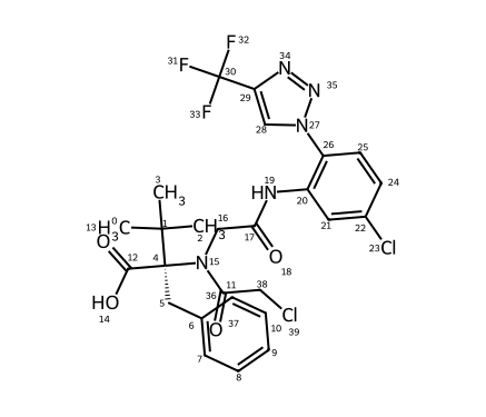 CC(C)(C)[C@](Cc1ccccc1)(C(=O)O)N(CC(=O)Nc1cc(Cl)ccc1-n1cc(C(F)(F)F)nn1)C(=O)CCl